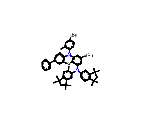 Cc1cc(C(C)(C)C)ccc1N1c2ccc(-c3ccccc3)cc2B2c3cc4c(cc3N(c3ccc5c(c3)C(C)(C)CC5(C)C)c3cc(C(C)(C)C)cc1c32)C(C)(C)CC4(C)C